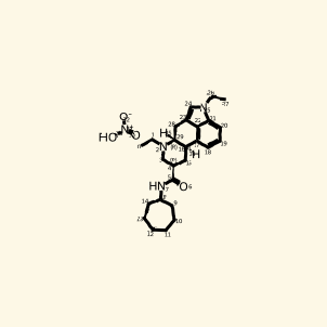 CCN1C[C@H](C(=O)NC2CCCCCC2)C[C@@H]2c3cccc4c3c(cn4CC)C[C@H]21.O=[N+]([O-])O